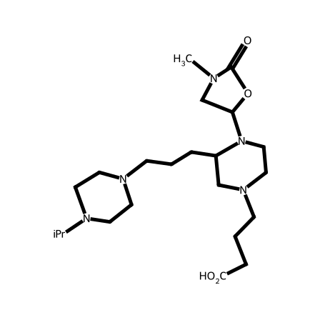 CC(C)N1CCN(CCCC2CN(CCCC(=O)O)CCN2C2CN(C)C(=O)O2)CC1